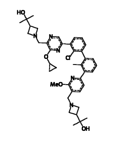 COc1nc(-c2cccc(-c3cccc(-c4cnc(CN5CC(C(C)(C)O)C5)c(OC5CC5)n4)c3Cl)c2C)ccc1CN1CC(C(C)(C)O)C1